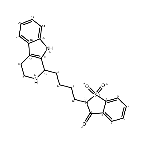 O=C1c2ccccc2S(=O)(=O)N1CCCCC1NCCc2c1[nH]c1ccccc21